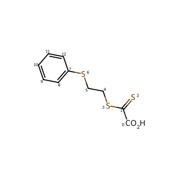 O=C(O)C(=S)SCCSc1ccccc1